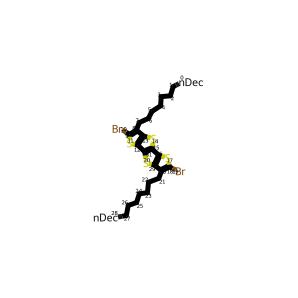 CCCCCCCCCCCCCCCCCc1c(Br)sc2c1sc1c3sc(Br)c(CCCCCCCCCCCCCCCCC)c3sc21